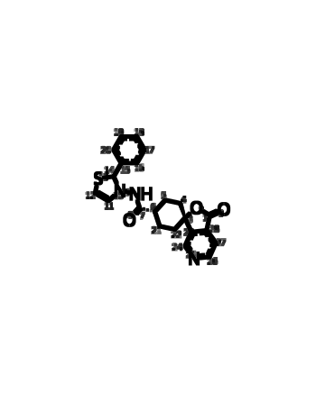 O=C1O[C@]2(CC[C@@H](C(=O)NN3C=CSC3c3ccccc3)CC2)c2cnccc21